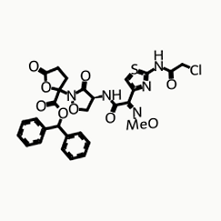 CO/N=C(\C(=O)N[C@H]1CON(C2(C(=O)OC(c3ccccc3)c3ccccc3)CCC(=O)O2)C1=O)c1csc(NC(=O)CCl)n1